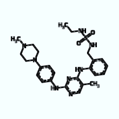 CCNS(=O)(=O)NCc1ccccc1Nc1nc(Nc2ccc(N3CCN(C)CC3)cc2)ncc1C